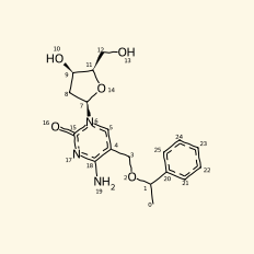 CC(OCc1cn([C@H]2C[C@@H](O)[C@@H](CO)O2)c(=O)nc1N)c1ccccc1